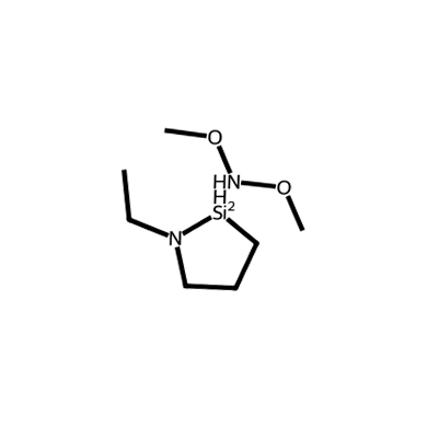 CCN1CCC[SiH2]1.CONOC